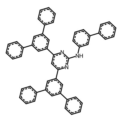 c1ccc(-c2cccc(Nc3nc(-c4cc(-c5ccccc5)cc(-c5ccccc5)c4)cc(-c4cc(-c5ccccc5)cc(-c5ccccc5)c4)n3)c2)cc1